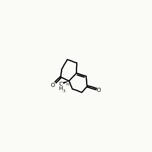 C[C@]12CCC(=O)C=C1CCCC2=O